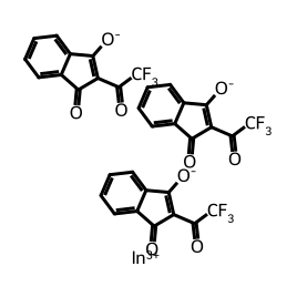 O=C1C(C(=O)C(F)(F)F)=C([O-])c2ccccc21.O=C1C(C(=O)C(F)(F)F)=C([O-])c2ccccc21.O=C1C(C(=O)C(F)(F)F)=C([O-])c2ccccc21.[In+3]